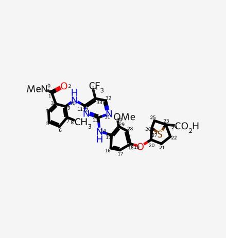 CNC(=O)c1cccc(C)c1Nc1nc(Nc2ccc(OC3CCC4(C(=O)O)CC3S4)cc2OC)ncc1C(F)(F)F